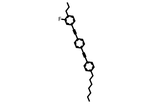 CCCCCCCc1ccc(C#Cc2ccc(C#Cc3ccc(CCC)c(F)c3)cc2)cc1